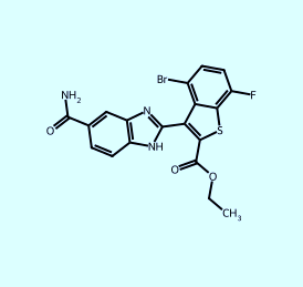 CCOC(=O)c1sc2c(F)ccc(Br)c2c1-c1nc2cc(C(N)=O)ccc2[nH]1